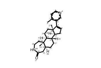 Cc1ccncc1C1=CC[C@H]2[C@@H]3CC[C@H]4CC(=O)NCC[C@]4(C)[C@H]3CC[C@]12C